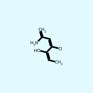 C=C(N)/C=C(Cl)\C(O)=C/C